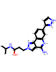 CC(C)NC(O)CCn1cc2c(N)nc3cc(-c4cc[nH]n4)ccc3c2n1